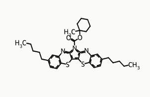 CCCCCc1ccc2c(c1)N=c1c(c3c(n1C(=O)OC1(C)CCCCC1)=Nc1cc(CCCCC)ccc1S3)S2